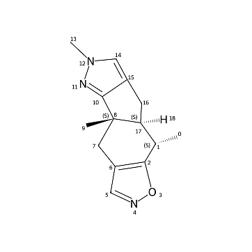 C[C@@H]1c2oncc2C[C@]2(C)c3nn(C)cc3C[C@@H]12